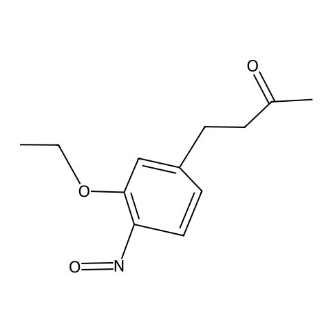 CCOc1cc(CCC(C)=O)ccc1N=O